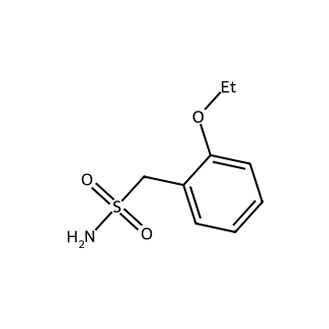 CCOc1ccccc1CS(N)(=O)=O